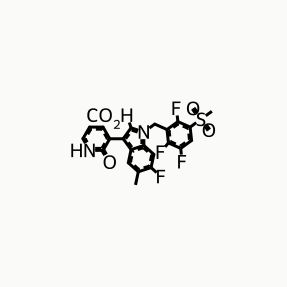 Cc1cc2c(-c3ccc[nH]c3=O)c(C(=O)O)n(Cc3c(F)c(F)cc(S(C)(=O)=O)c3F)c2cc1F